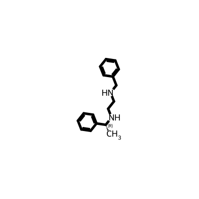 C[C@@H](NCCNCc1ccccc1)c1ccccc1